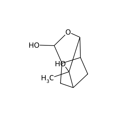 CC1(O)C2CC3C(O)OC1C3C2